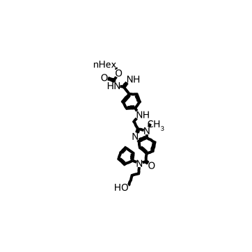 CCCCCCOC(=O)NC(=N)c1ccc(NCc2nc3cc(C(=O)N(CCCO)c4ccccc4)ccc3n2C)cc1